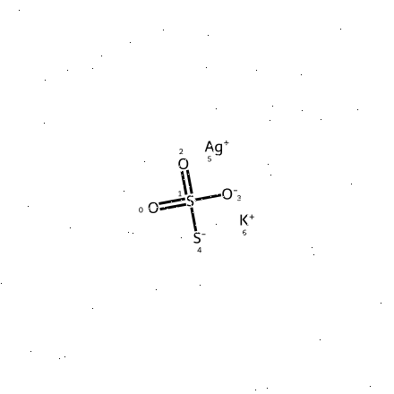 O=S(=O)([O-])[S-].[Ag+].[K+]